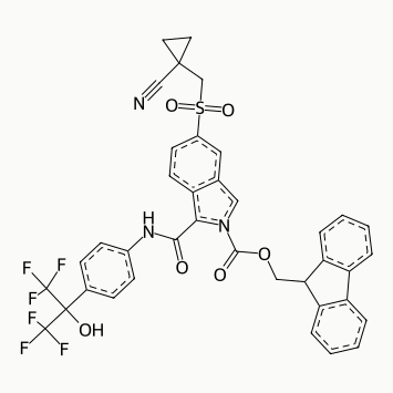 N#CC1(CS(=O)(=O)c2ccc3c(C(=O)Nc4ccc(C(O)(C(F)(F)F)C(F)(F)F)cc4)n(C(=O)OCC4c5ccccc5-c5ccccc54)cc3c2)CC1